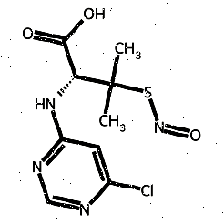 CC(C)(SN=O)[C@H](Nc1cc(Cl)ncn1)C(=O)O